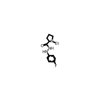 CCN1CCCC1C(=O)NNc1ccc(F)cc1